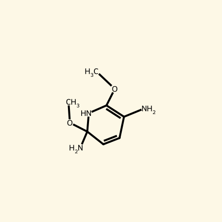 COC1=C(N)C=CC(N)(OC)N1